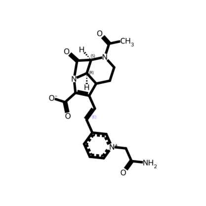 CC(=O)N1CCC2C(/C=C/c3ccc[n+](CC(N)=O)c3)=C(C(=O)[O-])N3C(=O)[C@@H]1[C@@H]23